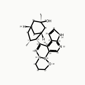 C[C@@H]1C[C@H]2C[C@H](C[C@](C)(O)C2)[C@@H]1C1=NN2CCCOB2c2cnc3[nH]ccc3c21